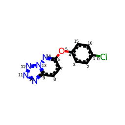 Clc1ccc(Oc2ccc3nnnn3n2)cc1